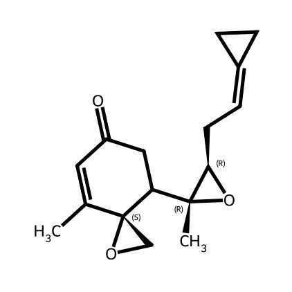 CC1=CC(=O)CC([C@@]2(C)O[C@@H]2CC=C2CC2)[C@@]12CO2